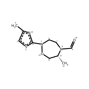 Cc1csc(N2CCN(C=O)[C@H](C)CO2)n1